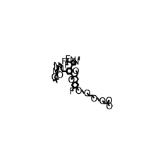 CCn1cc(-c2cc(Cn3ccn(C)/c3=N/C(=O)OC(C)(C)C)cc3c2OCC(Cc2ccc(F)c(OCCOCCOCCOCC(=O)OC)c2)C3=O)c(C(F)(F)F)n1